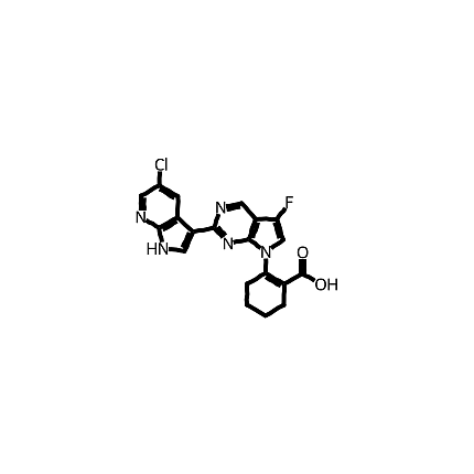 O=C(O)C1=C(n2cc(F)c3cnc(-c4c[nH]c5ncc(Cl)cc45)nc32)CCCC1